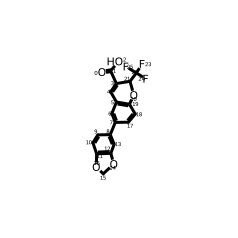 O=C(O)C1=Cc2cc(-c3ccc4c(c3)OCO4)ccc2OC1C(F)(F)F